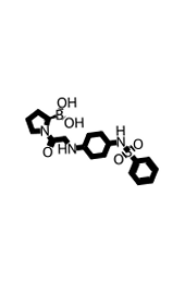 O=C(CNC1CCC(NS(=O)(=O)c2ccccc2)CC1)N1CCC[C@H]1B(O)O